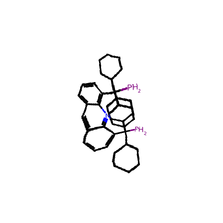 PC(c1cccc2cc3cccc(C(P)(C4CCCCC4)C4CCCCC4)c3nc12)(C1CCCCC1)C1CCCCC1